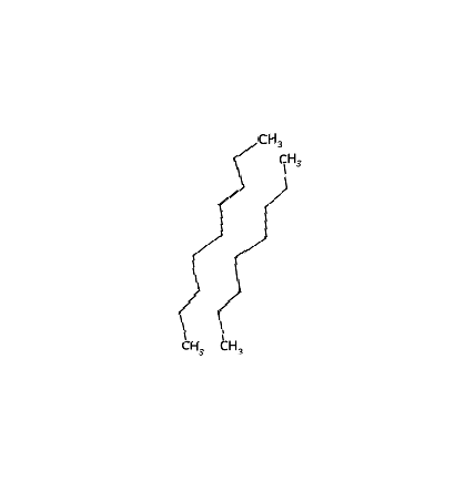 CCCCCCCC.CCCCCCCCC